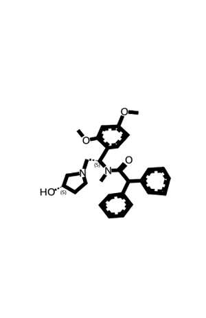 COc1ccc([C@@H](CN2CC[C@H](O)C2)N(C)C(=O)C(c2ccccc2)c2ccccc2)c(OC)c1